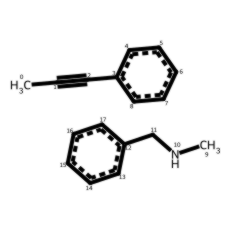 CC#Cc1ccccc1.CNCc1ccccc1